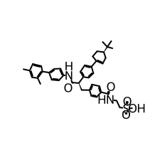 Cc1ccc(-c2ccc(NC(=O)[C@H](Cc3ccc(C(=O)NCCS(=O)(=O)O)cc3)c3ccc(C4=CC[C@H](C(C)(C)C)CC4)cc3)cc2)c(C)c1